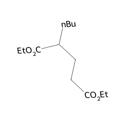 CCCCC(CCC(=O)OCC)C(=O)OCC